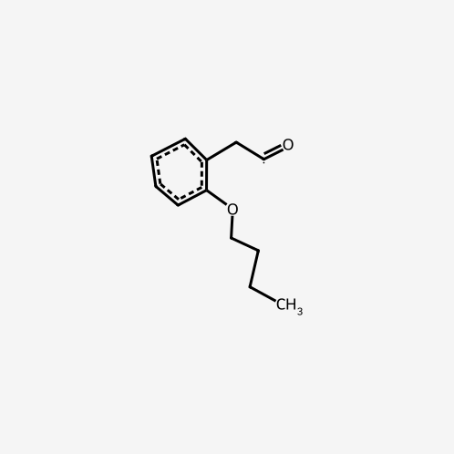 CCCCOc1ccccc1C[C]=O